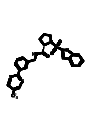 O=C(NCc1cccc(-c2ncc(C(F)(F)F)cn2)c1)[C@@H]1CCCN1S(=O)(=O)c1cc2ccccc2o1